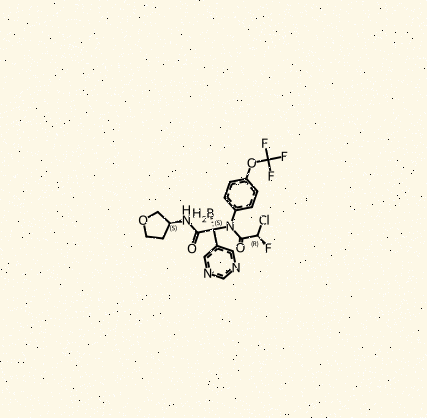 B[C@@](C(=O)N[C@H]1CCOC1)(c1cncnc1)N(C(=O)[C@H](F)Cl)c1ccc(OC(F)(F)F)cc1